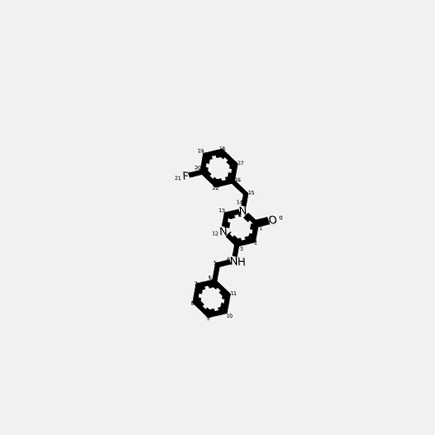 O=c1cc(NCc2ccccc2)ncn1Cc1cccc(F)c1